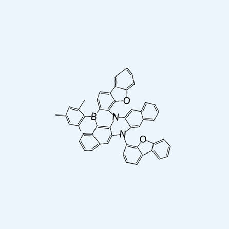 Cc1cc(C)c(B2c3ccc4c(oc5ccccc54)c3N3c4cc5ccccc5cc4N(c4cccc5c4oc4ccccc45)c4cc5ccccc5c2c43)c(C)c1